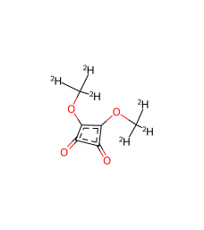 [2H]C([2H])([2H])Oc1c(OC([2H])([2H])[2H])c(=O)c1=O